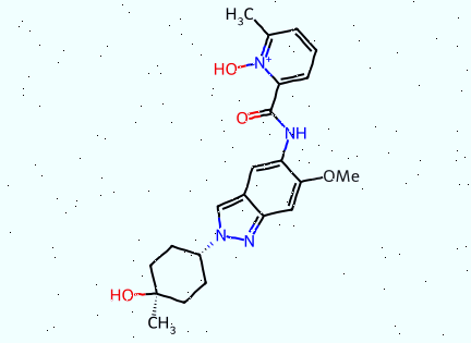 COc1cc2nn([C@H]3CC[C@](C)(O)CC3)cc2cc1NC(=O)c1cccc(C)[n+]1O